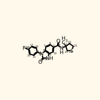 CC1(NC(=O)c2ccc3c(c2)[nH]c(=O)n3-c2ccc(F)cc2)CCSC1